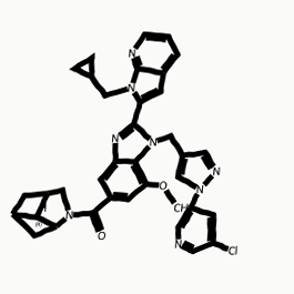 COc1cc(C(=O)N2CC3CC4CC2[C@H]43)cc2nc(-c3cc4cccnc4n3CC3CC3)n(Cc3cnn(-c4cncc(Cl)c4)c3)c12